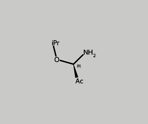 CC(=O)[C@H](N)OC(C)C